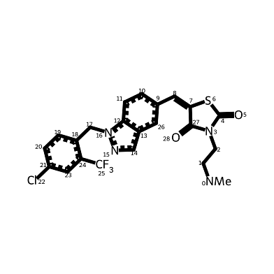 CNCCN1C(=O)SC(=Cc2ccc3c(cnn3Cc3ccc(Cl)cc3C(F)(F)F)c2)C1=O